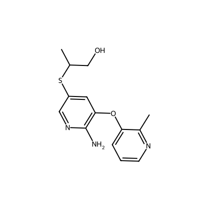 Cc1ncccc1Oc1cc(SC(C)CO)cnc1N